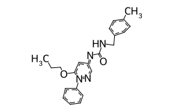 CCCOc1cc(=NC(=O)NCc2ccc(C)cc2)cnn1-c1ccccc1